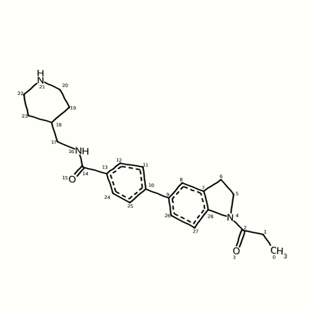 CCC(=O)N1CCc2cc(-c3ccc(C(=O)NCC4CCNCC4)cc3)ccc21